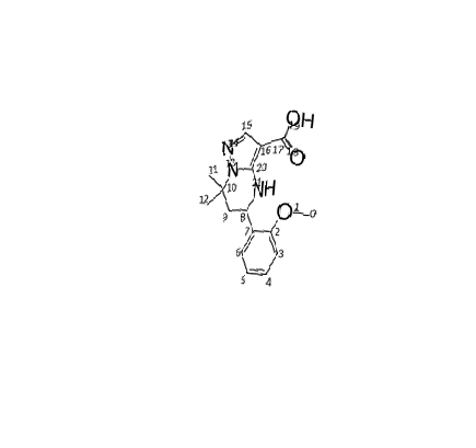 COc1ccccc1C1CC(C)(C)n2ncc(C(=O)O)c2N1